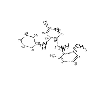 Cc1cccc(F)c1NCc1cnc(Cl)cc1NC1CCCCC1